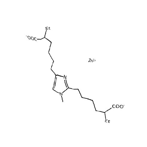 CCC(CCCCc1cn(C)c(CCCCC(CC)C(=O)[O-])n1)C(=O)[O-].[Zn+2]